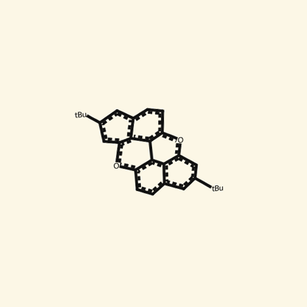 CC(C)(C)c1cc2ccc3oc4cc(C(C)(C)C)cc5ccc6oc(c1)c2c3-c6c54